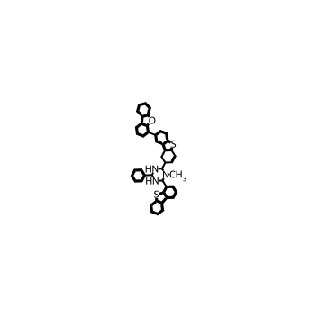 CN1C(c2cccc3c2sc2ccccc23)NC(c2ccccc2)NC1C1C=Cc2sc3ccc(-c4cccc5c4oc4ccccc45)cc3c2C1